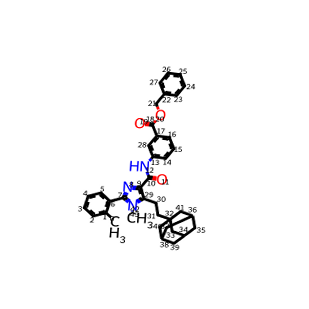 Cc1ccccc1-c1nc(C(=O)Nc2cccc(C(=O)OCc3ccccc3)c2)c(CCC23CC4CC(CC(C4)C2)C3)n1C